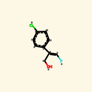 OCC(=CF)c1ccc(Cl)cc1